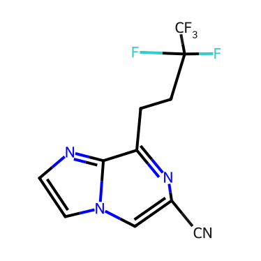 N#Cc1cn2ccnc2c(CCC(F)(F)C(F)(F)F)n1